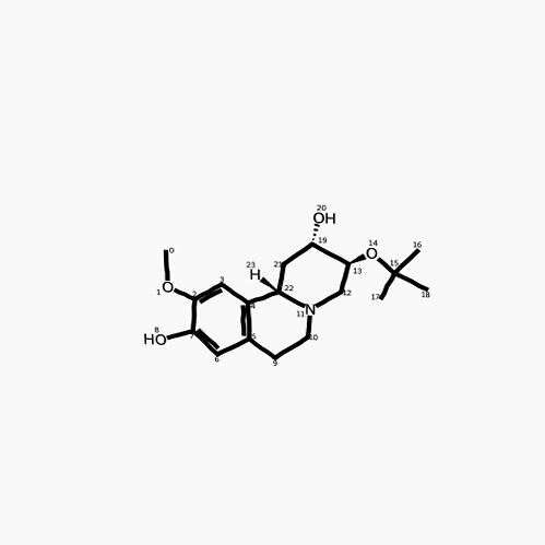 COc1cc2c(cc1O)CCN1C[C@H](OC(C)(C)C)[C@@H](O)C[C@@H]21